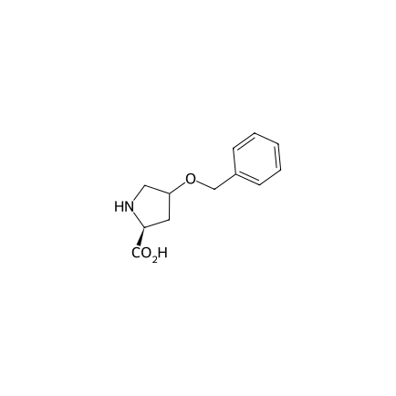 O=C(O)[C@@H]1CC(OCc2ccccc2)CN1